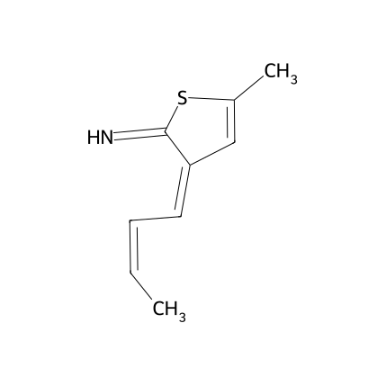 C/C=C\C=C1\C=C(C)SC1=N